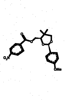 COc1ccc([C@@H]2OCC(C)(C)[C@H](COC(=O)c3ccc([N+](=O)[O-])cc3)O2)cc1